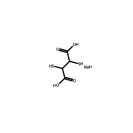 O=C(O)C(S)C(S)C(=O)O.[NaH]